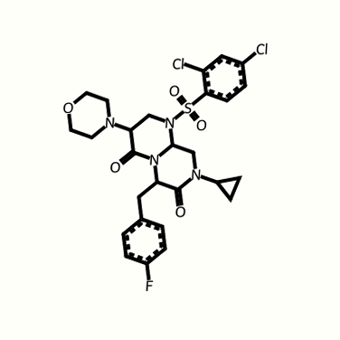 O=C1C(Cc2ccc(F)cc2)N2C(=O)C(N3CCOCC3)CN(S(=O)(=O)c3ccc(Cl)cc3Cl)C2CN1C1CC1